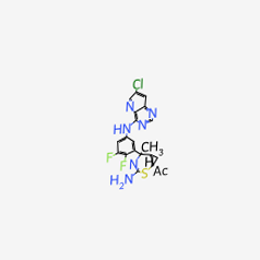 CC(=O)[C@]12C[C@H]1[C@@](C)(c1cc(Nc3ncnc4cc(Cl)cnc34)cc(F)c1F)N=C(N)S2